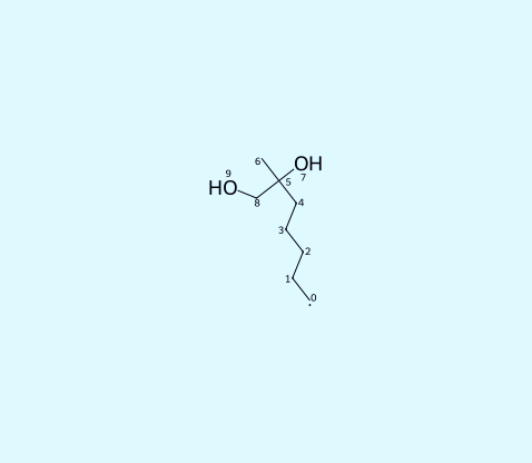 [CH2]CCCCC(C)(O)CO